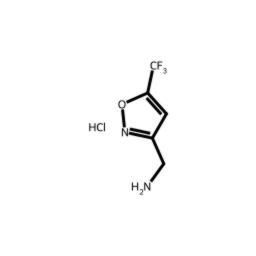 Cl.NCc1cc(C(F)(F)F)on1